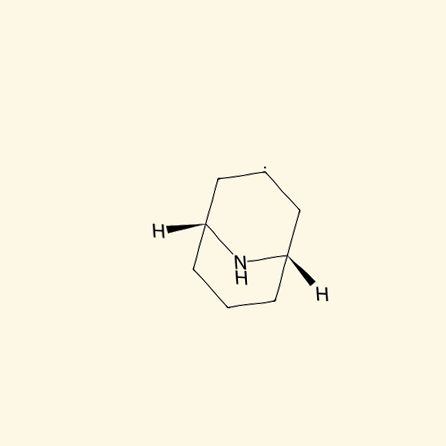 [CH]1C[C@@H]2CCC[C@H](C1)N2